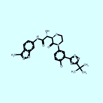 CC(C)(C)c1noc(-c2cc(N3CCO[C@H]([C@@H](O)C(=O)Nc4ccc5c(N)noc5c4)C3=O)ccc2Cl)n1